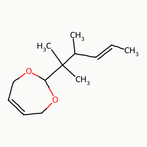 CC=CC(C)C(C)(C)C1OCC=CCO1